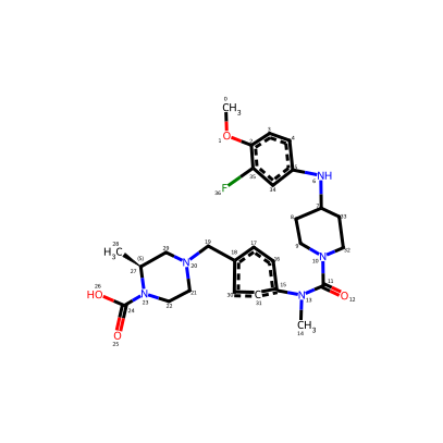 COc1ccc(NC2CCN(C(=O)N(C)c3ccc(CN4CCN(C(=O)O)[C@@H](C)C4)cc3)CC2)cc1F